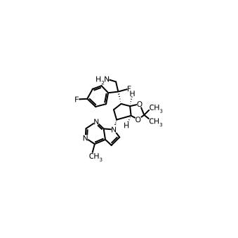 Cc1ncnc2c1ccn2[C@@H]1C[C@H](C(F)(CN)c2ccc(F)cc2)[C@H]2OC(C)(C)O[C@H]21